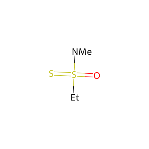 CCS(=O)(=S)NC